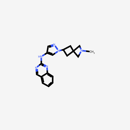 CN1CC2(CC(n3cc(Nc4ncc5ccccc5n4)cn3)C2)C1